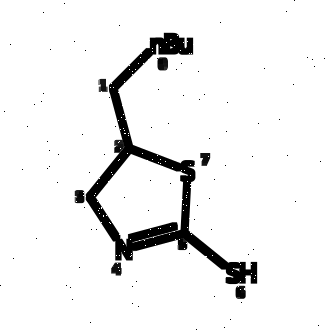 CCCCCC1CN=C(S)S1